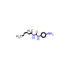 C=C/C=C\C=C(/C)NC(=O)Nc1ccc(N)cc1